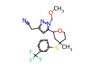 COCn1nc(CC#N)cc1C1CC(C)(Sc2cccc(C(F)(F)F)c2)CCO1